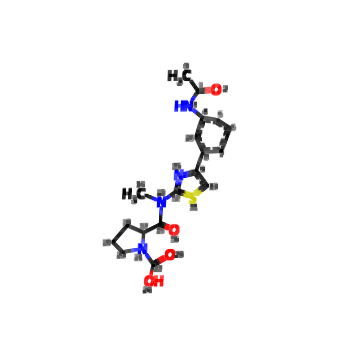 CC(=O)Nc1cccc(-c2csc(N(C)C(=O)C3CCCN3C(=O)O)n2)c1